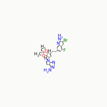 CC1(C)O[C@@H]2[C@H](O1)C(CCc1cc(F)c3cc(Br)c(N)nc3c1)=C[C@H]2n1ccc2c(N)ncnc21